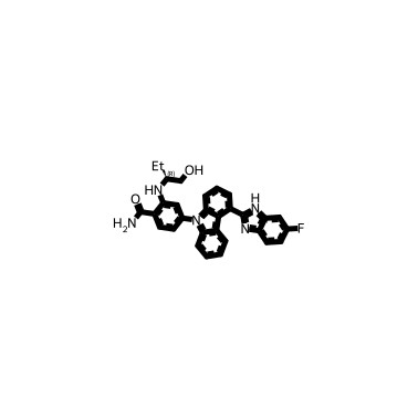 CC[C@H](CO)Nc1cc(-n2c3ccccc3c3c(-c4nc5ccc(F)cc5[nH]4)cccc32)ccc1C(N)=O